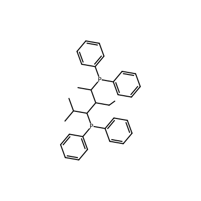 CCC(C(C)P(c1ccccc1)c1ccccc1)C(C(C)C)P(c1ccccc1)c1ccccc1